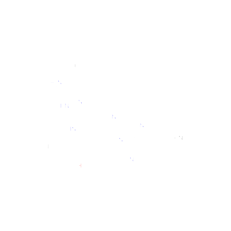 CCC/C(N)=C/N(N)c1cnc(-n2cnc3cc(C#N)cnc32)cc1NC(C)CO